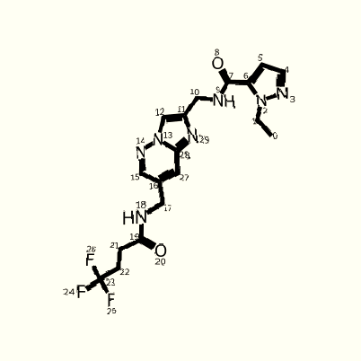 CCn1nccc1C(=O)NCc1cn2ncc(CNC(=O)CCC(F)(F)F)cc2n1